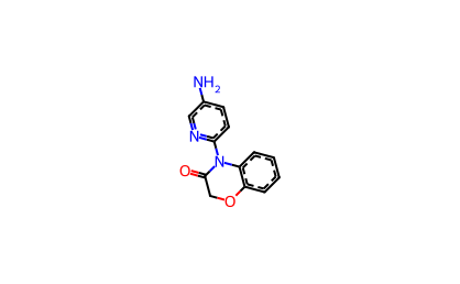 Nc1ccc(N2C(=O)COc3ccccc32)nc1